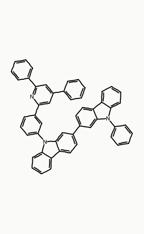 c1ccc(-c2cc(-c3ccccc3)nc(-c3cccc(-n4c5ccccc5c5ccc(-c6ccc7c8ccccc8n(-c8ccccc8)c7c6)cc54)c3)c2)cc1